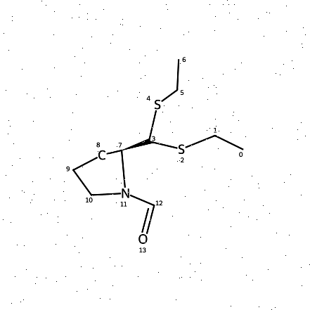 CCSC(SCC)[C@@H]1CCCN1C=O